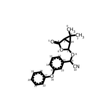 CC1(C)C2C(=O)OC(OC(C#N)c3cccc(Oc4ccccc4)c3)C21